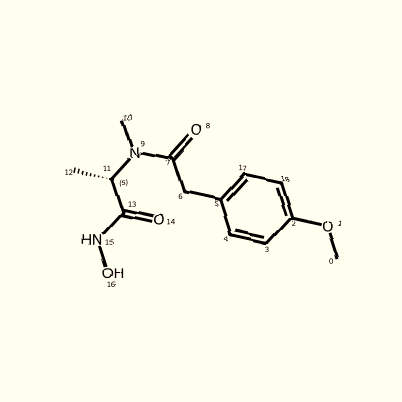 COc1ccc(CC(=O)N(C)[C@@H](C)C(=O)NO)cc1